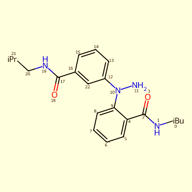 CCC(C)NC(=O)c1c[c]ccc1N(N)c1cccc(C(=O)NCC(C)C)c1